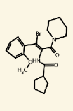 COc1ccccc1C(Br)=C(NC(=O)C1CCCC1)C(=O)N1CCCCC1